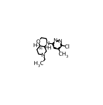 CCN1CC[C@H]2OCCN(c3cc(C)c(Cl)nn3)[C@H]2C1